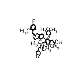 Cc1cc(F)ccc1CN1CCc2cc(-c3c(C(C)N(C)CC4CCOCC4)nc(C)c(CC(=O)O)c3N3CCC(C)(C)CC3)ccc2C1